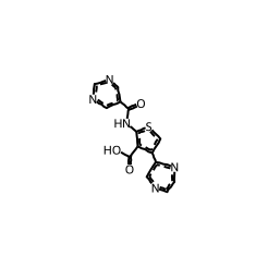 O=C(Nc1scc(-c2cnccn2)c1C(=O)O)c1cncnc1